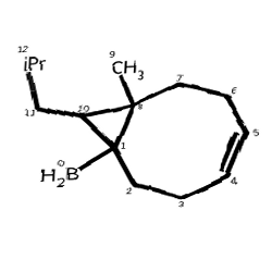 BC12CC/C=C\CCC1(C)C2CC(C)C